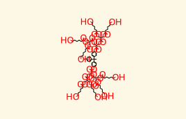 Cc1ccc(C(C)(c2ccc(OC(=O)C(COC(=O)C(COC(=O)CCCCCO)COC(=O)CCCCCO)COC(=O)C(COC(=O)CCCCCO)COC(=O)CCCCCO)cc2)c2ccc(OC(=O)C(COC(=O)C(COC(=O)CCCCCO)COC(=O)CCCCCO)OC(=O)C(COC(=O)CCCCCO)COC(=O)CCCCCO)cc2)cc1